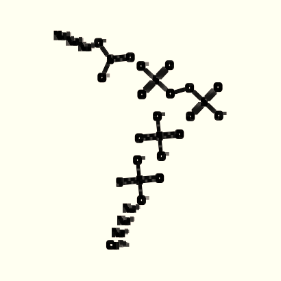 O=S(=O)([O-])OOS(=O)(=O)[O-].O=S(=O)([O-])[O-].O=S([O-])([O-])=S.O=S([O-])[O-].[Cu+2].[Na+].[Na+].[Na+].[Na+].[Na+].[Na+]